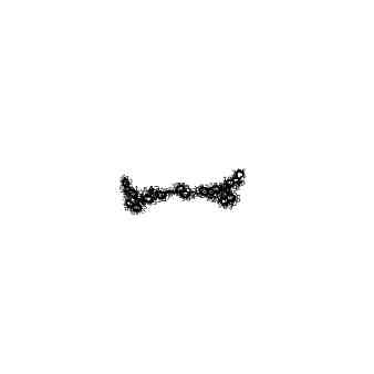 CC1(C)c2ccccc2-c2ccc(N(c3ccc4c(c3)C(C)(C)c3cc(/C=C/c5cccc6c(/C=C/c7ccc8c(c7)C(C)(C)c7cc(N(c9ccc%10c(c9)C(C)(C)c9ccccc9-%10)c9cccc%10ccccc9%10)ccc7-8)cccc56)ccc3-4)c3cccc4ccccc34)cc21